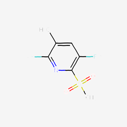 Cc1cc(F)c(S(C)(=O)=O)nc1F